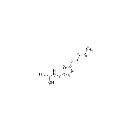 CC(O)NCc1ccc(CSCCN)o1